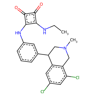 CCNc1c(Nc2cccc(C3CN(C)Cc4c(Cl)cc(Cl)cc43)c2)c(=O)c1=O